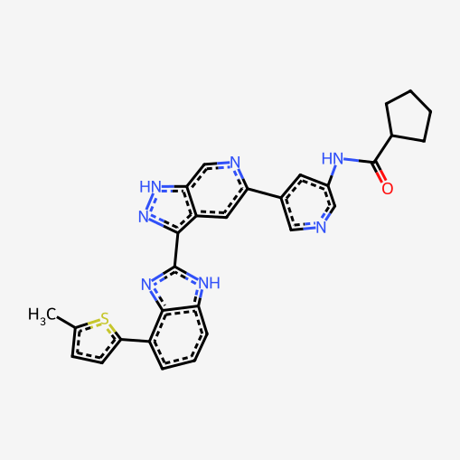 Cc1ccc(-c2cccc3[nH]c(-c4n[nH]c5cnc(-c6cncc(NC(=O)C7CCCC7)c6)cc45)nc23)s1